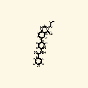 CCCn1cnc2ccc(-c3ccc(NC(=O)c4ccccc4)nc3)cc2c1=O